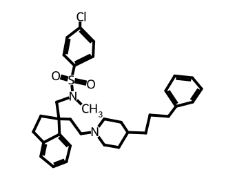 CN(CC1(CCN2CCC(CCCc3ccccc3)CC2)CCc2ccccc21)S(=O)(=O)c1ccc(Cl)cc1